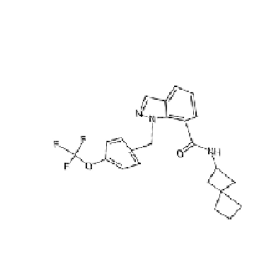 O=C(NC1CC2(CCC2)C1)c1cccc2cnn(Cc3ccc(OC(F)(F)F)cc3)c12